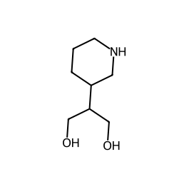 OCC(CO)C1CCCNC1